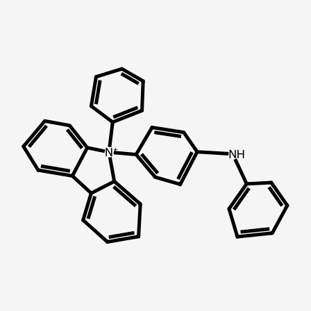 c1ccc(Nc2ccc([N+]3(c4ccccc4)c4ccccc4-c4ccccc43)cc2)cc1